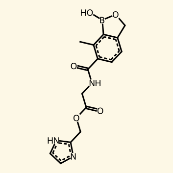 Cc1c(C(=O)NCC(=O)OCc2ncc[nH]2)ccc2c1B(O)OC2